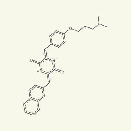 CN(C)CCCOc1ccc(/C=c2\[nH]c(=O)/c(=C/c3ccc4ccccc4c3)[nH]c2=O)cc1